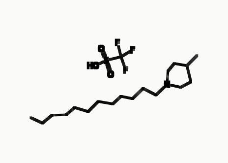 CCCCCCCCCCCCN1CCC(C)CC1.O=S(=O)(O)C(F)(F)F